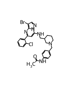 CC(=O)Nc1ccc(CN2CCCC(CNc3cc(-c4ccccc4Cl)nc4c(Br)cnn34)C2)cc1